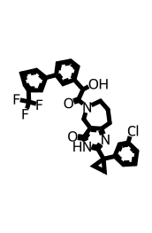 O=C(C(O)c1cccc(-c2cccc(C(F)(F)F)c2)c1)N1CCCc2nc(C3(c4cccc(Cl)c4)CC3)[nH]c(=O)c2C1